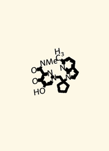 CNC(=O)c1nn(CC2(n3ccc4ccc(C)nc43)CCCC2)cc(O)c1=O